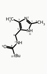 Cc1nc(C)c(CNC(=O)C(C)(C)C)[nH]1